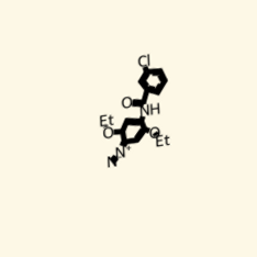 CCOC1=CC(=[N+]=[N-])C(OCC)C=C1NC(=O)c1cccc(Cl)c1